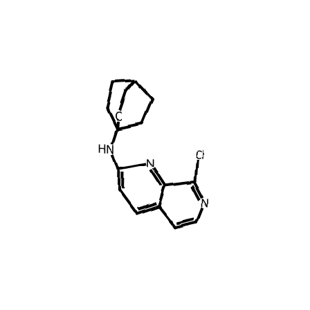 Clc1nccc2ccc(NC34CCC(CC3)CC4)nc12